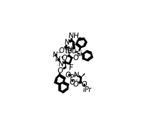 CC(C)OC(=O)[C@H](C)/N=[P+](\[O-])Oc1c(OC[C@@]2(N=[N+]=[N-])O[C@@H](n3ccc(N)nc3=O)[C@H](O[Si](c3ccccc3)(c3ccccc3)C(C)(C)C)[C@@H]2F)ccc2ccccc12